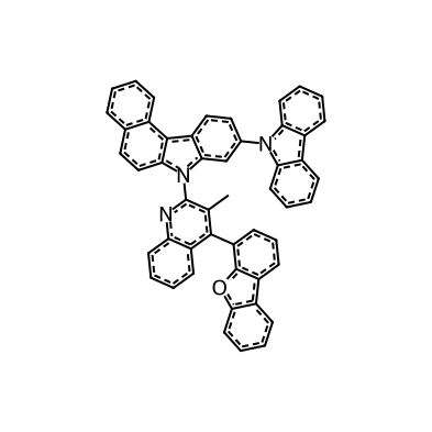 Cc1c(-n2c3cc(-n4c5ccccc5c5ccccc54)ccc3c3c4ccccc4ccc32)nc2ccccc2c1-c1cccc2c1oc1ccccc12